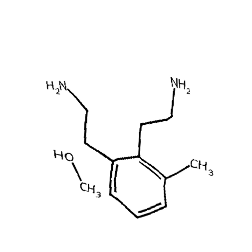 CO.Cc1cccc(CCN)c1CCN